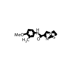 COc1ccc(NC(=O)c2cn3ccsc3n2)cc1C